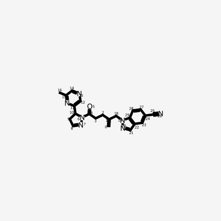 C=C(CCC(=O)N1N=CCC1c1cncc(C)n1)Cn1ncc2cc(C#N)ccc21